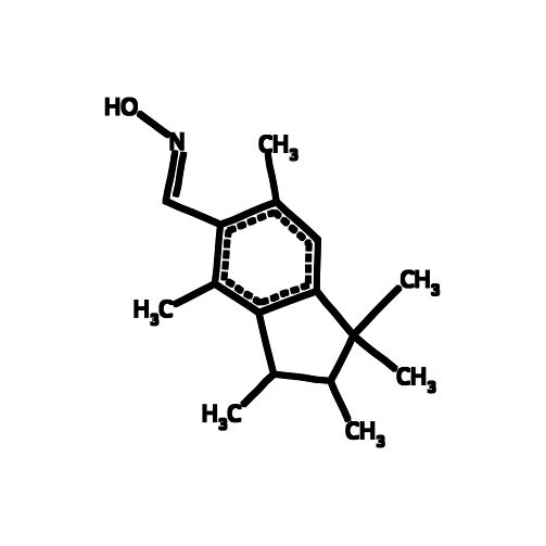 Cc1cc2c(c(C)c1C=NO)C(C)C(C)C2(C)C